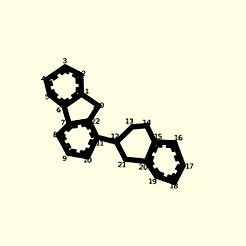 [C]1c2ccccc2-c2cccc(C3CCc4ccccc4C3)c21